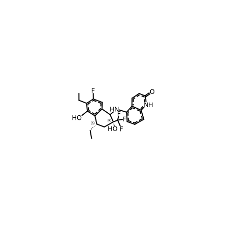 CCc1c(F)cc2c(c1O)[C@@H](CC)C[C@](O)(C(F)(F)F)C2Nc1cccc2[nH]c(=O)ccc12